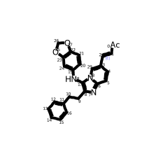 CC(=O)/C=C/c1ccc2nc(CCc3ccccc3)c(Nc3ccc4c(c3)OCO4)n2c1